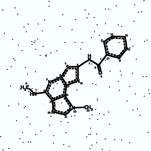 CNc1nc2sc(NC(=O)c3ccccc3)nc2c2c1ncn2C